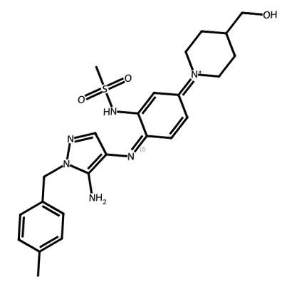 Cc1ccc(Cn2ncc(/N=C3/C=CC(=[N+]4CCC(CO)CC4)C=C3NS(C)(=O)=O)c2N)cc1